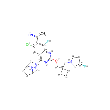 CC(=N)c1c(Cl)cc2c(N3CC4CCC(C3)N4)nc(OCC3(CN4CC[C@@H](F)C4)CCC3)nc2c1F